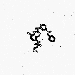 CCCS(=O)(=O)Nc1ccc(Cl)c(NC(=O)Nc2cc([AsH]Cc3ccccc3)ncn2)c1F